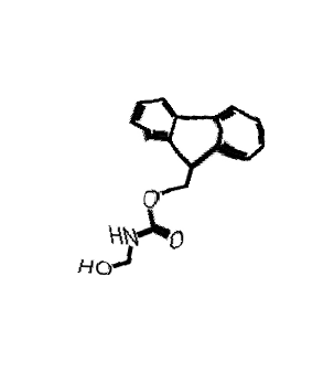 O=C(NCO)OCC1c2ccccc2-c2ccccc21